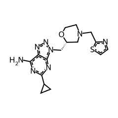 Nc1nc(C2CC2)nc2c1nnn2C[C@H]1CN(Cc2nccs2)CCO1